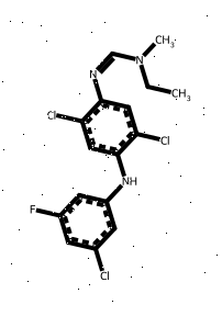 CCN(C)/C=N\c1cc(Cl)c(Nc2cc(F)cc(Cl)c2)cc1Cl